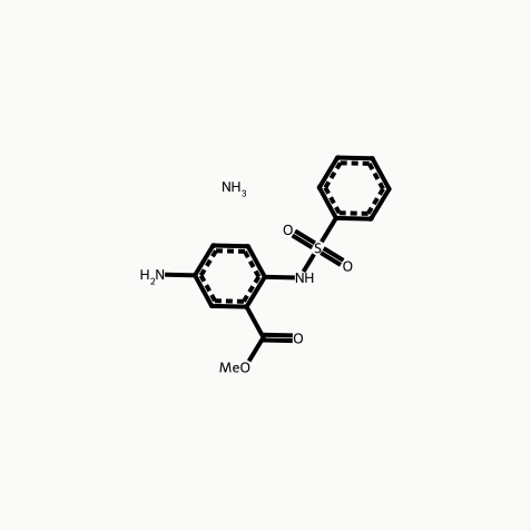 COC(=O)c1cc(N)ccc1NS(=O)(=O)c1ccccc1.N